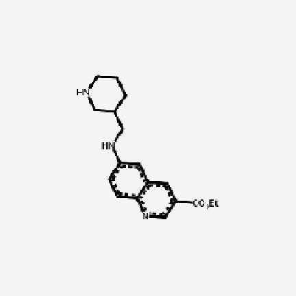 CCOC(=O)c1cnc2ccc(NCC3CCCNC3)cc2c1